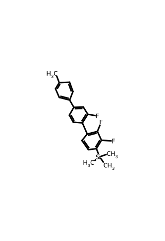 Cc1ccc(-c2ccc(-c3ccc([Si](C)(C)C)c(F)c3F)c(F)c2)cc1